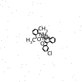 CCc1cccc(C)c1NC(=O)Nc1oc2ccc(Cl)cc2c1-c1ccccc1Cl